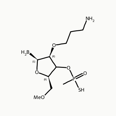 B[C@@H]1O[C@H](COC)C(OP(C)(=O)S)[C@@H]1OCCCN